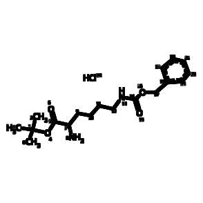 CC(C)(C)OC(=O)C(N)CCCCNC(=O)OCc1ccccc1.Cl